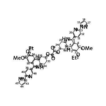 CCOc1cc2c(cc1OC)C(c1ccc(-n3cccn3)nc1)=N[C@@H]1CC[C@@H](OC(=O)C(=O)O[C@@H]3CC[C@H]4N=C(c5ccc(-n6cccn6)nc5)c5cc(OC)c(OCC)cc5[C@H]4C3)C[C@H]21